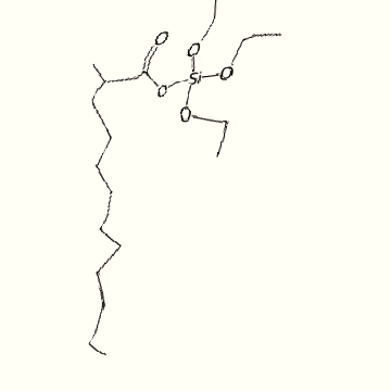 CCCCCCCCCCC(C)C(=O)O[Si](OCC)(OCC)OCC